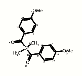 COc1ccc(C(=O)[Si](C)(C)C(=O)c2ccc(OC)cc2)cc1